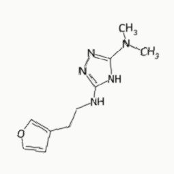 CN(C)c1nnc(NCCc2ccoc2)[nH]1